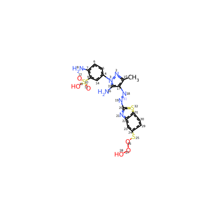 Cc1nn(-c2ccc(N)c(S(=O)(=O)O)c2)c(N)c1/N=N/c1nc2cc(SOOO)ccc2s1